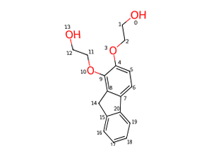 OCCOc1ccc2c(c1OCCO)Cc1ccccc1-2